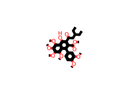 CCC(CC)CC(=O)c1c(C(=O)OC)c(-c2ccc(OC)c(OC)c2)c2c(OC)c(OC)c(OC)c(OC)c2c1O